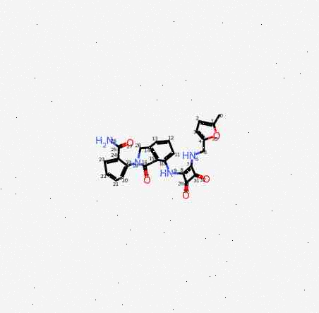 Cc1ccc(CNc2c(Nc3cccc4c3C(=O)N(c3ccccc3C(N)=O)C4)c(=O)c2=O)o1